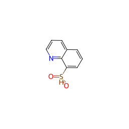 O=[SH](=O)c1cccc2cccnc12